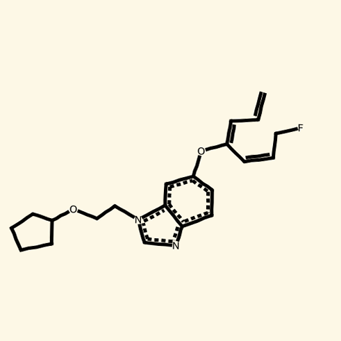 C=C/C=C(\C=C/CF)Oc1ccc2ncn(CCOC3CCCC3)c2c1